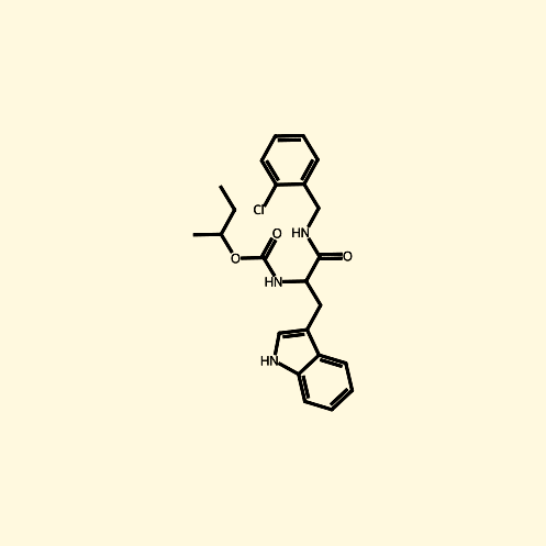 CCC(C)OC(=O)NC(Cc1c[nH]c2ccccc12)C(=O)NCc1ccccc1Cl